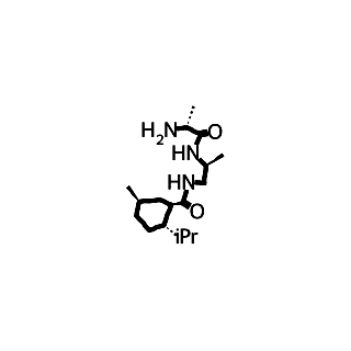 CC(C)[C@@H]1CC[C@@H](C)C[C@H]1C(=O)NC[C@H](C)NC(=O)[C@@H](C)N